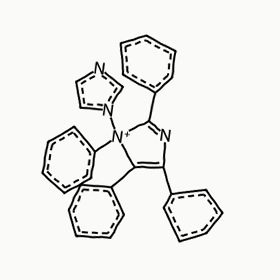 c1ccc(C2=NC(c3ccccc3)=C(c3ccccc3)[N+]2(c2ccccc2)n2ccnc2)cc1